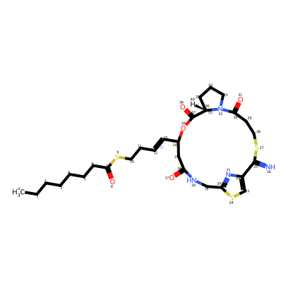 CCCCCCCC(=O)SCC/C=C/C1CC(=O)NCc2nc(cs2)C(=N)SCCC(=O)N2CCC[C@H]2C(=O)O1